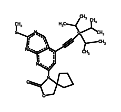 CSc1ncc2c(C#C[Si](C(C)C)(C(C)C)C(C)C)cc(N3C(=O)OCC34CCCC4)nc2n1